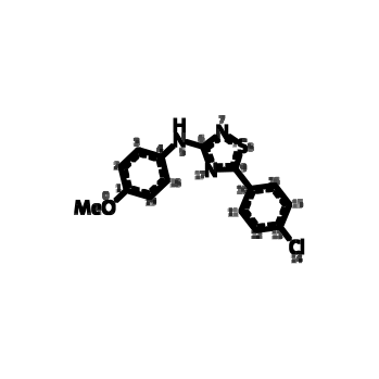 COc1ccc(Nc2nsc(-c3ccc(Cl)cc3)n2)cc1